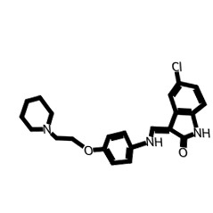 O=C1Nc2ccc(Cl)cc2C1=CNc1ccc(OCCN2CCCCC2)cc1